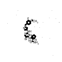 COc1ccc(Cn2cc(Nc3ncc(Br)c(N[C@H]4[C@@H](C(N)=O)[C@@H]5C=C[C@H]4C5)n3)cn2)cc1F